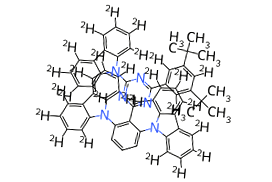 [2H]c1c(-c2nc(-c3c(-n4c5c([2H])c([2H])c([2H])c([2H])c5c5c([2H])c([2H])c([2H])c([2H])c54)cccc3-n3c4c([2H])c([2H])c([2H])c([2H])c4c4c([2H])c([2H])c([2H])c([2H])c43)nc(-n3c4c([2H])c([2H])c([2H])c([2H])c4c4c([2H])c([2H])c([2H])c([2H])c43)n2)c([2H])c(C(C)(C)C)c([2H])c1C(C)(C)C